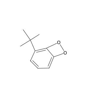 CC(C)(C)c1cccc2ooc12